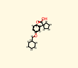 O=C(O)C1(c2cccc(OCC3CCCCC3)c2)CCCC1